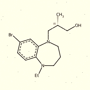 CCN1CCCN(C[C@H](C)CO)c2cc(Br)ccc21